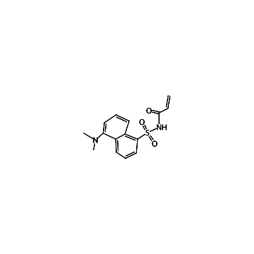 C=CC(=O)NS(=O)(=O)c1cccc2c(N(C)C)cccc12